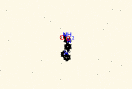 NC(=O)c1cc(-c2ccc(CN3CCCc4ccccc43)cc2)no1